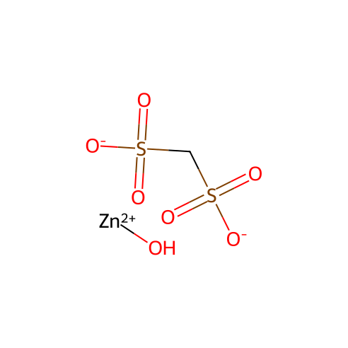 O=S(=O)([O-])CS(=O)(=O)[O-].[OH][Zn+2]